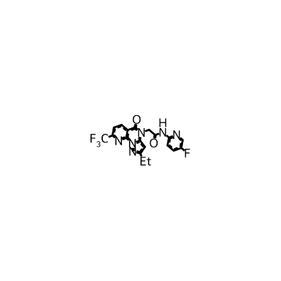 CCc1cc2n(CC(=O)Nc3ccc(F)cn3)c(=O)c3ccc(C(F)(F)F)nc3n2n1